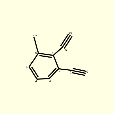 C#Cc1cccc([CH2])c1C#C